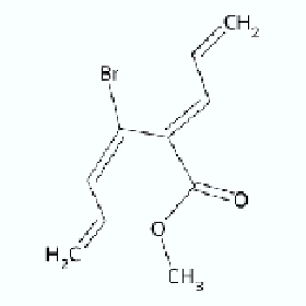 C=C/C=C(C(=O)OC)\C(Br)=C/C=C